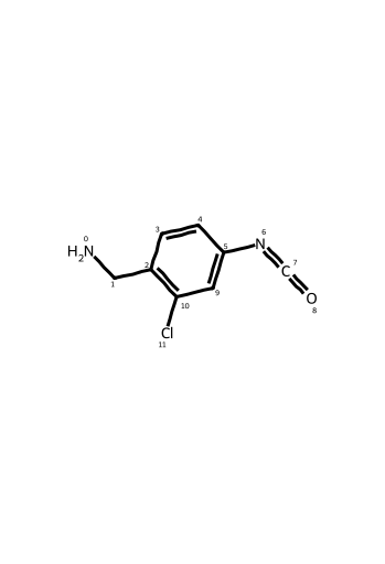 NCc1ccc(N=C=O)cc1Cl